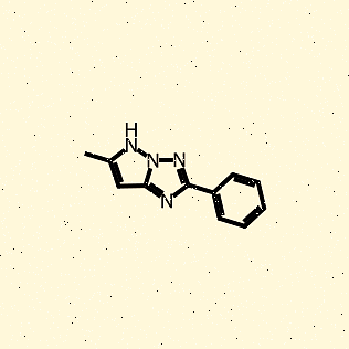 Cc1cc2nc(-c3ccccc3)nn2[nH]1